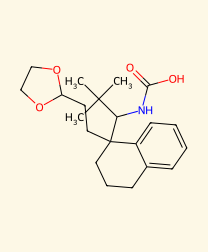 CC(C)(C)C(NC(=O)O)C1(CCC2OCCO2)CCCc2ccccc21